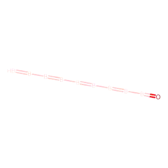 B=B\B=B/B=B\B=B/B=O